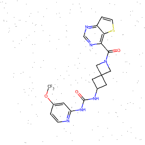 O=C(Nc1cc(OC(F)(F)F)ccn1)NC1CC2(C1)CN(C(=O)c1ncnc3ccsc13)C2